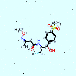 CO/N=C(/C)CC(=O)N[C@H](CF)[C@H](O)c1ccc(S(C)(=O)=O)cc1